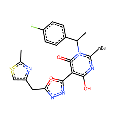 CCCCc1nc(O)c(-c2nnc(Cc3csc(C)n3)o2)c(=O)n1C(C)c1ccc(F)cc1